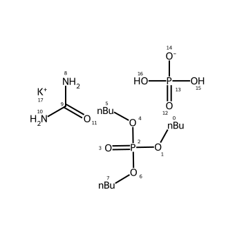 CCCCOP(=O)(OCCCC)OCCCC.NC(N)=O.O=P([O-])(O)O.[K+]